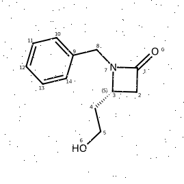 O=C1C[C@H](CCO)N1Cc1ccccc1